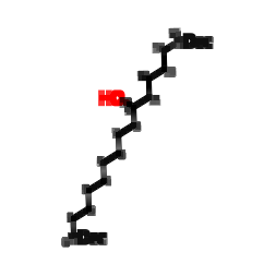 CCCCCCCCCCCCCCCCCCC(O)CCCCCCCCCCCCCC